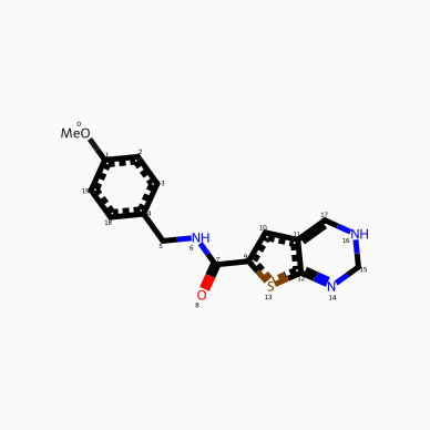 COc1ccc(CNC(=O)c2cc3c(s2)=NCNC=3)cc1